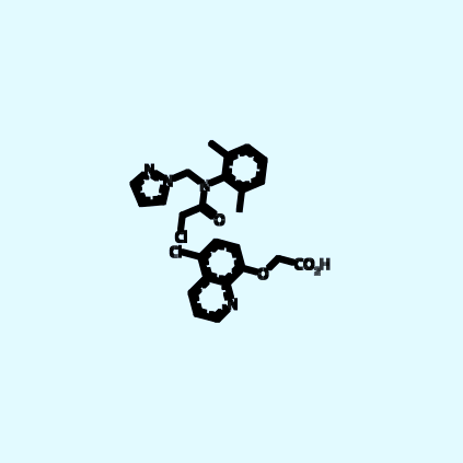 Cc1cccc(C)c1N(Cn1cccn1)C(=O)CCl.O=C(O)COc1ccc(Cl)c2cccnc12